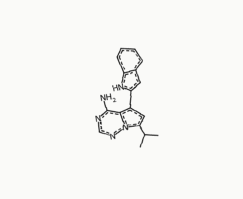 CC(C)c1cc(-c2cc3ccccc3[nH]2)c2c(N)ncnn12